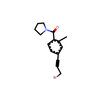 Cc1cc(C#CCBr)ccc1C(=O)N1CCCC1